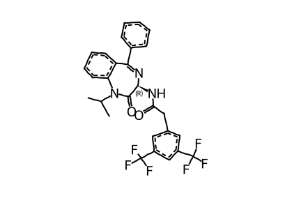 CC(C)N1C(=O)[C@H](NC(=O)Cc2cc(C(F)(F)F)cc(C(F)(F)F)c2)N=C(c2ccccc2)c2ccccc21